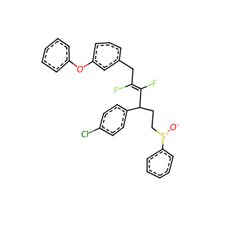 [O-][S+](CCC(C(F)=C(F)Cc1cccc(Oc2ccccc2)c1)c1ccc(Cl)cc1)c1ccccc1